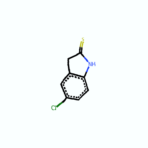 S=C1Cc2cc(Cl)ccc2N1